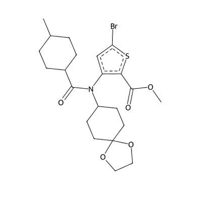 COC(=O)c1sc(Br)cc1N(C(=O)C1CCC(C)CC1)C1CCC2(CC1)OCCO2